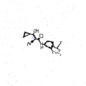 Cc1cc(NC(=O)/C(C#N)=C(\O)C2CC2)ccc1C(F)F